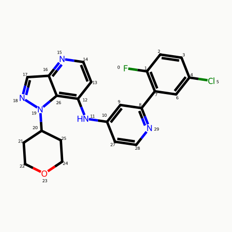 Fc1ccc(Cl)cc1-c1cc(Nc2ccnc3cnn(C4CCOCC4)c23)ccn1